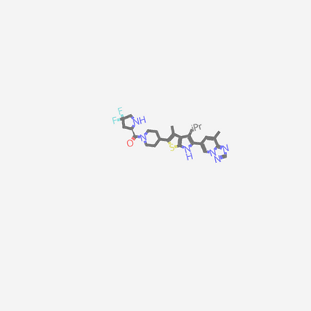 Cc1c(C2CCN(C(=O)[C@H]3CC(F)(F)CN3)CC2)sc2[nH]c(-c3cc(C)c4ncnn4c3)c(C(C)C)c12